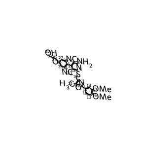 [C-]#[N+]c1c(N)nc(SCc2nc(-c3ccc(OC)c(OC)c3)oc2C)c(C#N)c1-c1ccc(OCCO)cc1